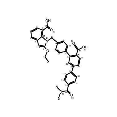 CCOc1nc2cccc(C(=O)O)c2n1Cc1ccc(-c2cc(-c3ccc(C(=O)N(C)C)cc3)ccc2C(=O)O)cc1